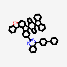 c1ccc(-c2ccc(-c3nc(-c4ccc5c(c4)C4(c6ccccc6C6(c7ccccc7-c7ccccc76)c6ccccc64)c4ccc6oc7ccccc7c6c4-5)nc4ccccc34)cc2)cc1